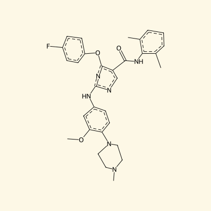 COc1cc(Nc2ncc(C(=O)Nc3c(C)cccc3C)c(Oc3ccc(F)cc3)n2)ccc1N1CCN(C)CC1